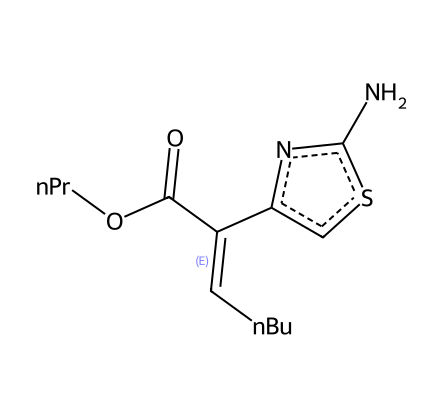 CCCC/C=C(/C(=O)OCCC)c1csc(N)n1